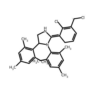 Cc1cc(C)c(C2CNC(=C3CC=CC([C]Cl)=C3Cl)N2c2c(C)cc(C)cc2C)c(C)c1